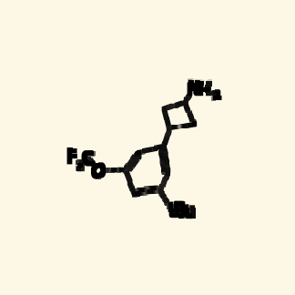 CC(C)(C)c1cc(OC(F)(F)F)cc(C2CC(N)C2)c1